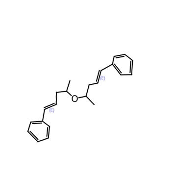 CC(C/C=C/c1ccccc1)OC(C)C/C=C/c1ccccc1